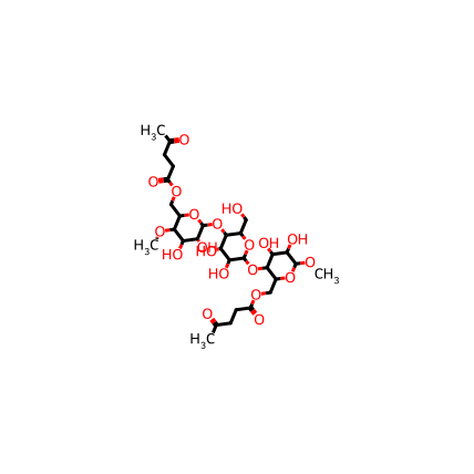 COC1OC(COC(=O)CCC(C)=O)C(OC2OC(CO)C(OC3OC(COC(=O)CCC(C)=O)C(OC)C(O)C3O)C(O)C2O)C(O)C1O